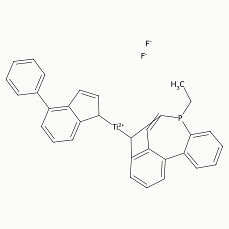 CCP1C2=Cc3c(cccc3[CH]2[Ti+2][CH]2C=Cc3c(-c4ccccc4)cccc32)-c2ccccc21.[F-].[F-]